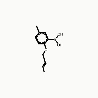 CC=CCOc1ccc(C)cc1B(O)O